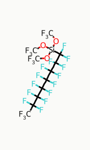 FC(F)(F)O[Si](OC(F)(F)F)(OC(F)(F)F)C(F)(F)C(F)(F)C(F)(F)C(F)(F)C(F)(F)C(F)(F)C(F)(F)C(F)(F)F